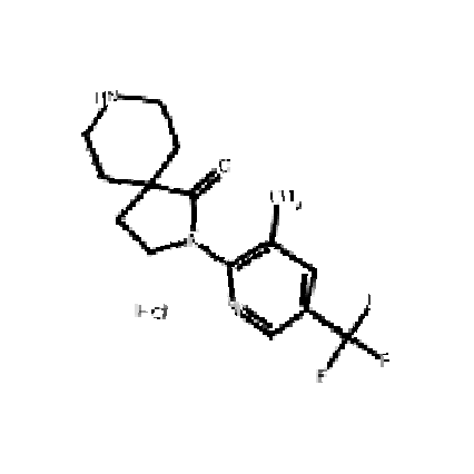 Cc1cc(C(F)(F)F)cnc1N1CCC2(CCNCC2)C1=O.Cl